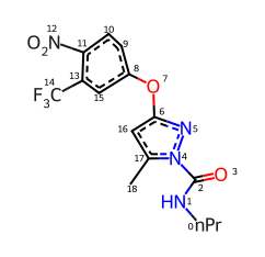 CCCNC(=O)n1nc(Oc2ccc([N+](=O)[O-])c(C(F)(F)F)c2)cc1C